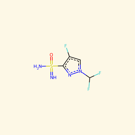 N=S(N)(=O)c1nn(C(F)F)cc1F